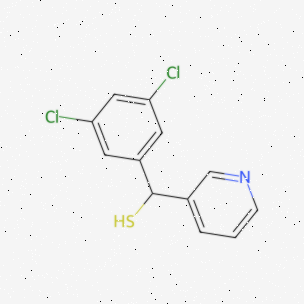 SC(c1cccnc1)c1cc(Cl)cc(Cl)c1